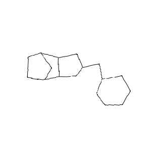 C1CCC(CC2CC3C4CCC(C4)C3C2)CC1